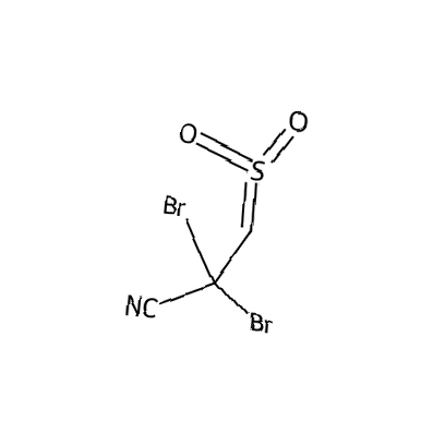 N#CC(Br)(Br)C=S(=O)=O